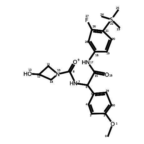 COc1ccc(C(NC(=O)N2CC(O)C2)C(=O)Nc2ccc(S(C)(C)C)c(F)c2)cc1